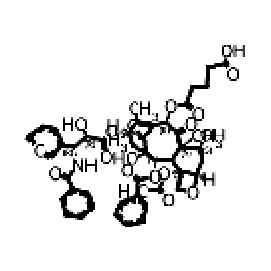 CC(=O)O[C@@]12CO[C@@H]1C[C@H](O)[C@@]1(C)C(=O)[C@H](OC(=O)CCCC(=O)O)C3=C(C)[C@@H](OC(=O)[C@H](O)[C@H](NC(=O)c4ccccc4)c4ccccc4)C[C@@](O)([C@@H](OC(=O)c4ccccc4)C12)C3(C)C